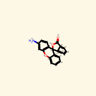 Nc1ccc2c(c1)Oc1ccccc1C21OC(=O)c2ccccc21